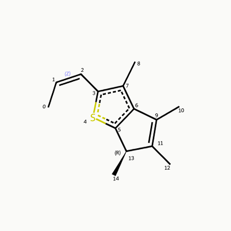 C/C=C\c1sc2c(c1C)C(C)=C(C)[C@H]2C